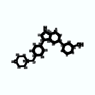 Oc1cccc(-c2cnc3[nH]cc(-c4ccc(CN5CCOCC5)cc4)c3c2)c1